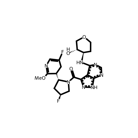 COC1=NC=C(F)CC1[C@H]1C[C@H](F)CN1C(=O)c1n[nH]c2ncnc(N[C@@H]3CCOC[C@H]3O)c12